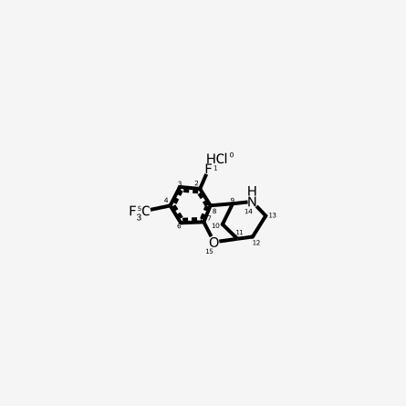 Cl.Fc1cc(C(F)(F)F)cc2c1C1CC(CCN1)O2